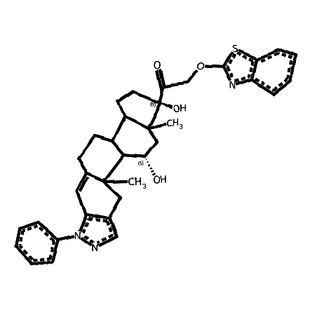 CC12Cc3cnn(-c4ccccc4)c3C=C1CCC1C2[C@@H](O)CC2(C)C1CC[C@]2(O)C(=O)COc1nc2ccccc2s1